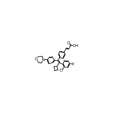 O=C(O)C=Cc1ccc(C(=C(c2ccc(F)cc2Cl)C2CCC2)c2ccc(N3CCOCC3)cc2)cc1